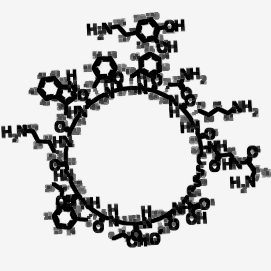 CC(O)[C@@H]1NC(=O)[C@H](Cc2ccccc2)NC(=O)[C@H](C(C)O)NC(=O)[C@H](CCCCN)NC(=O)[C@H](Cc2c[nH]c3ccccc23)NC(=O)[C@H](Cc2ccccc2)NC(=O)[C@H](Cc2ccccc2)NC(=O)[C@H](CC(N)=O)NC(=O)[C@H](CCCCN)NC(=O)[C@@H](NC(=O)CNC(=O)[C@H](C)N)CSSC[C@@H](C(=O)O)NC(=O)[C@H](CO)NC1=O.NCCc1ccc(O)c(O)c1